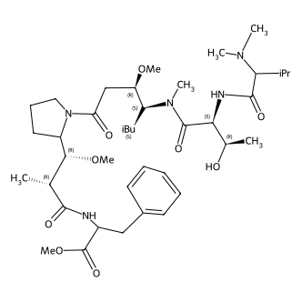 CC[C@H](C)[C@@H]([C@@H](CC(=O)N1CCCC1[C@H](OC)[C@@H](C)C(=O)NC(Cc1ccccc1)C(=O)OC)OC)N(C)C(=O)[C@@H](NC(=O)C(C(C)C)N(C)C)[C@@H](C)O